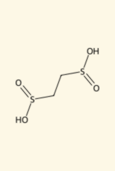 O=S(O)CCS(=O)O